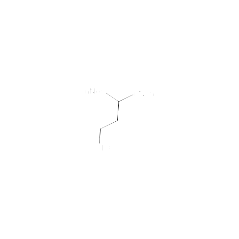 CCCCCCCCCC(CCC=O)CCCCCCCCC